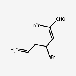 C=CCC(C=C(C=O)CCC)CCC